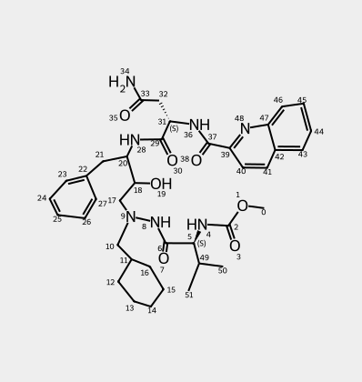 COC(=O)N[C@H](C(=O)NN(CC1CCCCC1)CC(O)C(Cc1ccccc1)NC(=O)[C@H](CC(N)=O)NC(=O)c1ccc2ccccc2n1)C(C)C